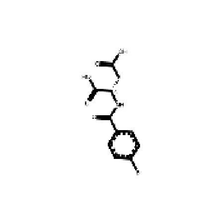 O=C(O)C[C@H](NC(=O)c1ccc(Br)cc1)C(=O)O